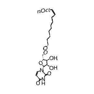 CCCCCCCC/C=C\CCCCCCCCOOC[C@H]1O[C@@H](n2ccc(=O)[nH]c2=O)[C@H](O)[C@@H]1O